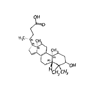 C[C@H](CCC(=O)O)[C@H]1CC=C2C3=C(CC[C@@]21C)[C@@]1(C)CCC(O)C(C)(C)[C@@H]1CC3